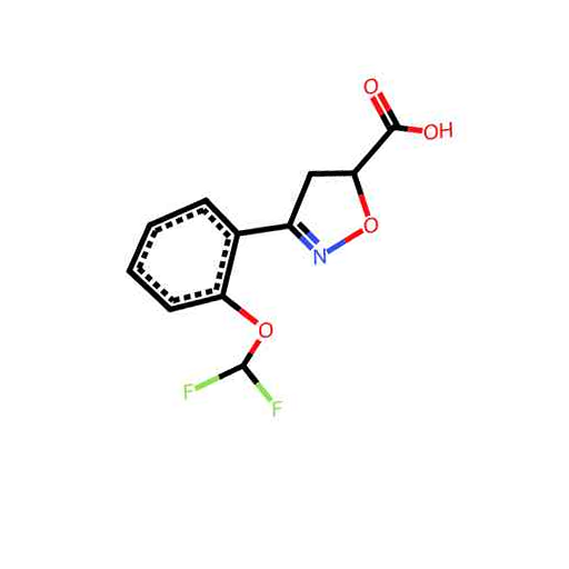 O=C(O)C1CC(c2ccccc2OC(F)F)=NO1